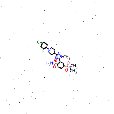 CN(C)S(=O)(=O)c1ccc(S(N)(=O)=O)c(-c2nc(C3CCN(c4ccc(Cl)cc4F)CC3)nn2C)c1